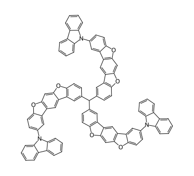 c1ccc2c(c1)c1ccccc1n2-c1ccc2oc3cc4oc5ccc(C(c6ccc7oc8cc9oc%10ccc(-n%11c%12ccccc%12c%12ccccc%12%11)cc%10c9cc8c7c6)c6ccc7oc8cc9oc%10ccc(-n%11c%12ccccc%12c%12ccccc%12%11)cc%10c9cc8c7c6)cc5c4cc3c2c1